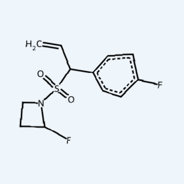 C=CC(c1ccc(F)cc1)S(=O)(=O)N1CCC1F